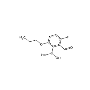 CCCOc1ccc(F)c(C=O)c1B(O)O